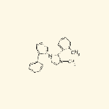 Cc1ccccc1C1N(C)C=CN1c1ccccc1-c1ccccc1